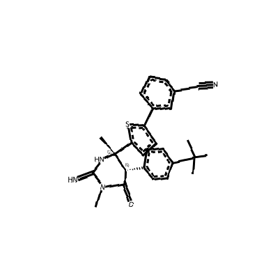 CN1C(=N)N[C@](C)(c2ccc(-c3cccc(C#N)c3)s2)[C@H](c2ccc(C(C)(C)C)cc2)C1=O